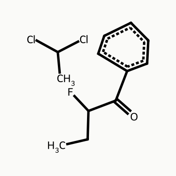 CC(Cl)Cl.CCC(F)C(=O)c1ccccc1